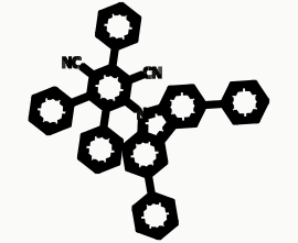 N#Cc1c(-c2ccccc2)c(C#N)c(-n2c3ccc(-c4ccccc4)cc3c3cc(-c4ccccc4)ccc32)c(-c2ccccc2)c1-c1ccccc1